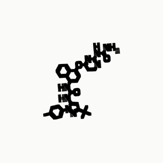 Cc1ccc(-n2nc(C(C)(C)C)cc2NC(=O)Nc2ccc(Oc3ccnc(NC(N)=O)n3)c3ccccc23)cc1